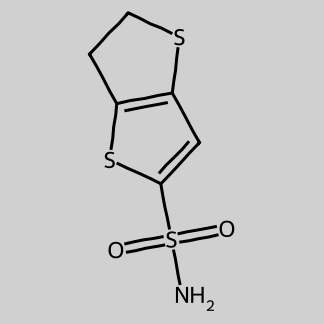 NS(=O)(=O)c1cc2c(s1)CCS2